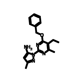 CCc1c(C)nc(-n2nc(C)cc2N)nc1OCc1ccccc1